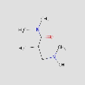 CC(CN(C)C)C(=O)N(C)C